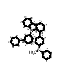 CN(c1ccccc1)c1ccc(-c2cccc3c4ccccc4n(-c4cccc(-c5ccccc5)c4)c23)cc1